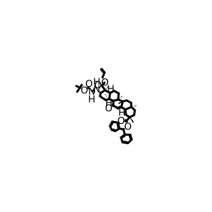 C=CCOC(=O)[C@]1(C)[C@@H](NNC(=O)OC(C)(C)C)CC[C@@]2(C)[C@H]1CC[C@]1(C)[C@@H]2C(=O)C=C2[C@@H]3C[C@@](C)(C(=O)OC(c4ccccc4)c4ccccc4)CC[C@]3(C)CC[C@]21C